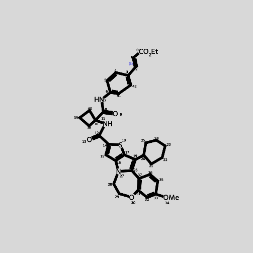 CCOC(=O)/C=C/c1ccc(NC(=O)C2(NC(=O)c3cc4c(s3)c(C3CCCCC3)c3n4CCOc4cc(OC)ccc4-3)CCC2)cc1